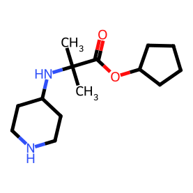 CC(C)(NC1CCNCC1)C(=O)OC1CCCC1